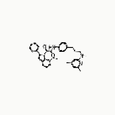 CCc1cccc2cc(-c3ccccc3)c(C(=O)C(=O)Nc3ccc(CCCN(C)c4cc(C)cc(C)n4)cc3)n12